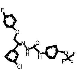 O=C(NN=C(COc1ccc(F)cc1)c1cccc(Cl)c1)Nc1ccc(OC(F)(F)F)cc1